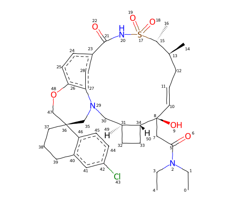 CCN(CC)C(=O)C[C@@]1(O)/C=C/C[C@H](C)[C@@H](C)S(=O)(=O)NC(=O)c2ccc3c(c2)N(C[C@@H]2CC[C@H]21)C[C@@]1(CCCc2cc(Cl)ccc21)CO3